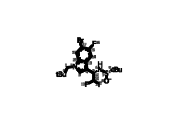 CC(C)(C)Cn1cc([C@H](N[S+]([O-])C(C)(C)C)C(F)F)c2cc(F)c(Br)cc21